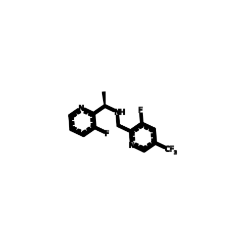 C[C@@H](NCc1ncc(C(F)(F)F)cc1F)c1ncccc1F